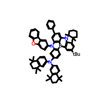 CC(C)(C)c1cc2c3c(c1)C1(C)CCCCC1(C)N3c1cc(-c3ccccc3)cc3c1B2c1ccc(N(c2ccc4c(c2)C(C)(C)CCC4(C)C)c2ccc4c(c2)C(C)(C)CCC4(C)C)cc1N3c1ccc2oc3ccccc3c2c1